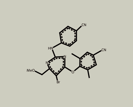 COCc1nc(Nc2ccc(C#N)cc2)nc(Oc2c(C)cc(C#N)cc2C)c1Br